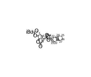 CCC(C)C(=O)OC1C2CC3C1OC(=O)C3C2C(=O)OC1(CC)CC2CC1C1C3CCC(C3)C21